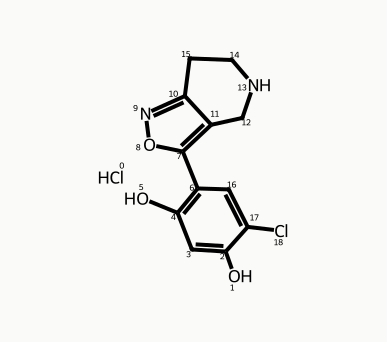 Cl.Oc1cc(O)c(-c2onc3c2CNCC3)cc1Cl